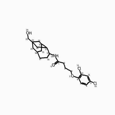 O=C(CCCOc1ccc(Cl)cc1Cl)NC1CCC2CC3CC(CO)(C2)CC31